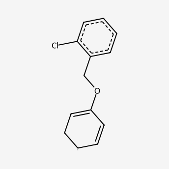 Clc1ccccc1COC1=CC[CH]C=C1